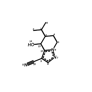 CC(C)C1CCn2ncc(C#N)c2C1O